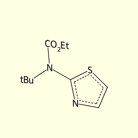 CCOC(=O)N(c1nccs1)C(C)(C)C